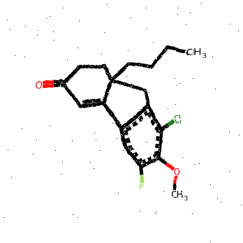 CCCCC12CCC(=O)C=C1c1cc(F)c(OC)c(Cl)c1C2